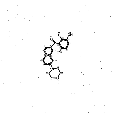 O=C(c1ccc2ncc(N3CCOCC3)nc2c1)c1c(Cl)ccc(O)c1F